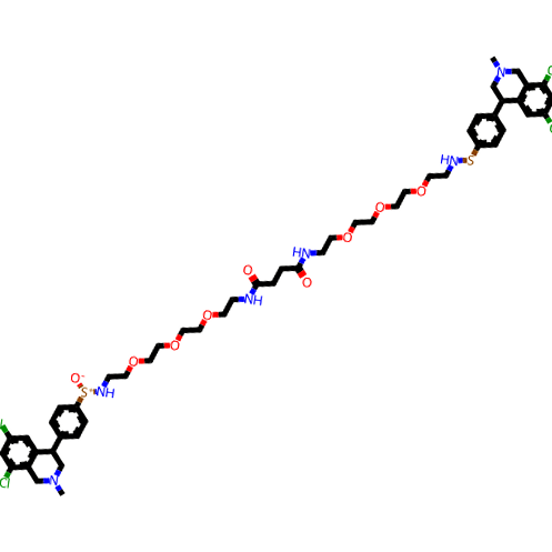 CN1Cc2c(Cl)cc(Cl)cc2C(c2ccc(SNCCOCCOCCOCCNC(=O)CCC(=O)NCCOCCOCCOCCN[S+]([O-])c3ccc(C4CN(C)Cc5c(Cl)cc(Cl)cc54)cc3)cc2)C1